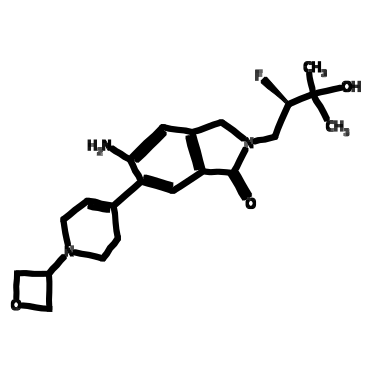 CC(C)(O)[C@H](F)CN1Cc2cc(N)c(C3=CCN(C4COC4)CC3)cc2C1=O